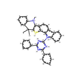 CN1c2ccccc2C(C)(C)c2sc3c(ccc4c5ccccc5n(-c5nc(-c6ccccc6)nc(-c6ccccc6)n5)c43)c21